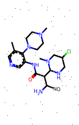 Cc1cncc(NC(=O)C(C(N)N=O)C2NCC(Cl)CN2C)c1N1CCN(C)CC1